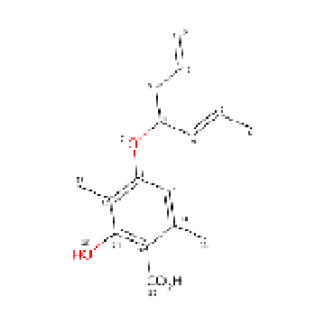 C=CCC(C=CC)Oc1cc(C)c(C(=O)O)c(O)c1C